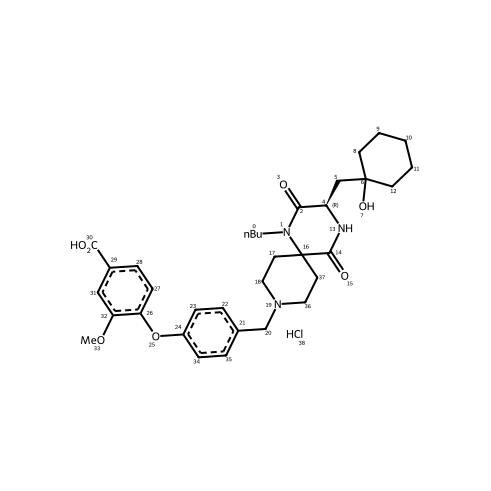 CCCCN1C(=O)[C@@H](CC2(O)CCCCC2)NC(=O)C12CCN(Cc1ccc(Oc3ccc(C(=O)O)cc3OC)cc1)CC2.Cl